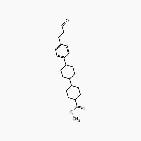 COC(=O)C1CCC(C2CCC(c3ccc(CCC=O)cc3)CC2)CC1